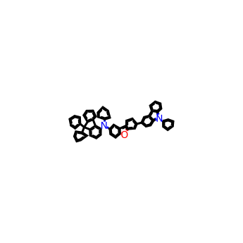 c1ccc(N(c2ccc3oc4cc(-c5ccc6c(c5)c5ccccc5n6-c5ccccc5)ccc4c3c2)c2cccc3c2-c2ccccc2C3(c2ccccc2)c2ccccc2)cc1